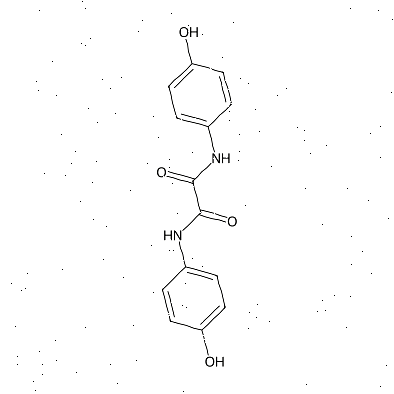 O=C(Nc1ccc(O)cc1)C(=O)Nc1ccc(O)cc1